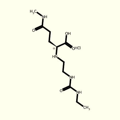 CCNC(=O)NCCN[C@@H](CCC(=O)NC)C(=O)O.Cl